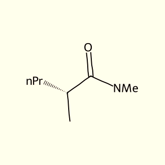 CCC[C@@H](C)C(=O)NC